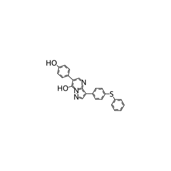 Oc1ccc(-c2cnc3c(-c4ccc(Sc5ccccc5)cc4)cnn3c2O)cc1